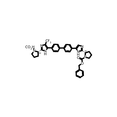 O=C(O)N1CCC[C@H]1c1nc(C(F)(F)F)c(-c2ccc(-c3ccc(-c4cnc([C@@H]5CCCN5C(=O)OCc5ccccc5)[nH]4)cc3)cc2)[nH]1